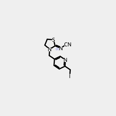 N#C/N=C1\SCCN1Cc1ccc(CI)nc1